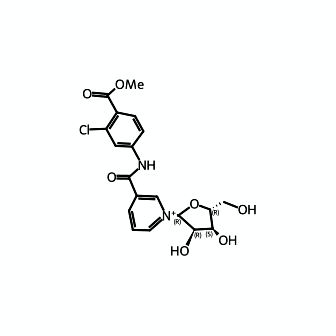 COC(=O)c1ccc(NC(=O)c2ccc[n+]([C@@H]3O[C@H](CO)[C@@H](O)[C@H]3O)c2)cc1Cl